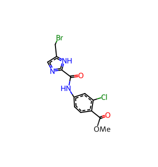 COC(=O)c1ccc(NC(=O)c2ncc(CBr)[nH]2)cc1Cl